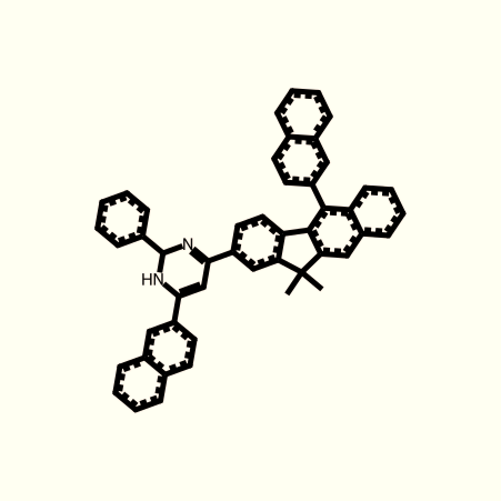 CC1(C)c2cc(C3=NC(c4ccccc4)NC(c4ccc5ccccc5c4)=C3)ccc2-c2c1cc1ccccc1c2-c1ccc2ccccc2c1